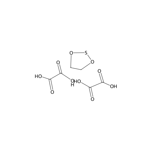 C1COSO1.O=C(O)C(=O)O.O=C(O)C(=O)O